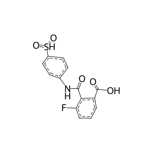 O=C(O)c1cccc(F)c1C(=O)Nc1ccc([SH](=O)=O)cc1